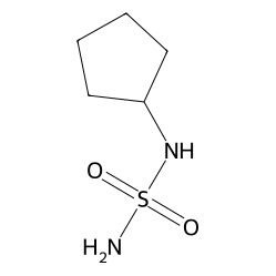 NS(=O)(=O)NC1CCCC1